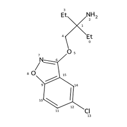 CCC(N)(CC)COc1noc2ccc(Cl)cc12